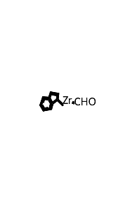 O=C[CH2][Zr][CH2]C1C=Cc2ccccc21